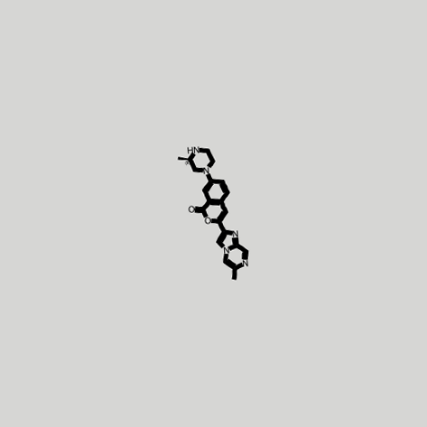 Cc1cn2cc(-c3cc4ccc(N5CCN[C@H](C)C5)cc4c(=O)o3)nc2cn1